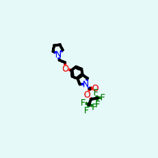 O=C(OC(C(F)(F)F)C(F)(F)F)N1Cc2ccc(OCCN3CCCC3)cc2C1